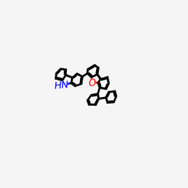 c1ccc(-c2ccccc2-c2cccc3c2oc2c(-c4ccc5[nH]c6ccccc6c5c4)cccc23)cc1